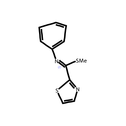 CS/C(=N\c1ccccc1)c1nccs1